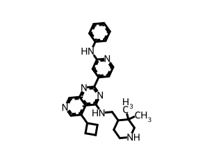 CC1(C)CNCCC1CNc1nc(-c2ccnc(Nc3ccccc3)c2)nc2cncc(C3CCC3)c12